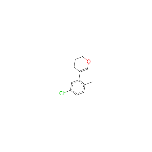 Cc1ccc(Cl)cc1C1=COCCC1